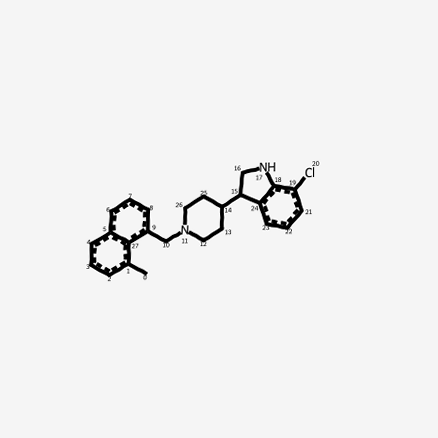 Cc1cccc2cccc(CN3CCC(C4CNc5c(Cl)cccc54)CC3)c12